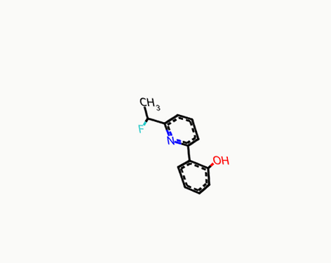 CC(F)c1cccc(-c2ccccc2O)n1